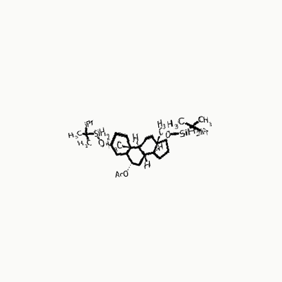 CC(=O)O[C@H]1C[C@H]2[C@@H]3CC[C@H](O[SiH2]C(C)(C)C(C)C)[C@@]3(C)CC[C@@H]2[C@@]2(C)CC[C@@H](O[SiH2]C(C)(C)C(C)C)CC12